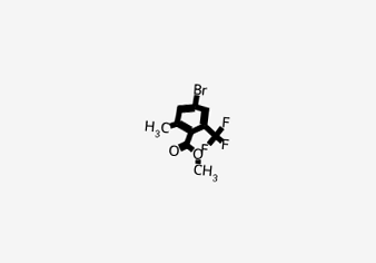 COC(=O)c1c(C)cc(Br)cc1C(F)(F)F